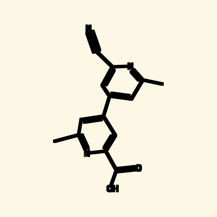 Cc1cc(-c2cc(C)nc(C(=O)O)c2)cc(C#N)n1